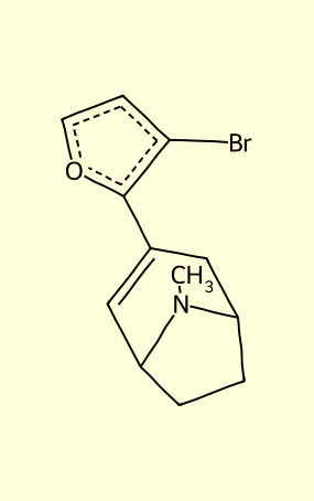 CN1C2C=C(c3occc3Br)CC1CC2